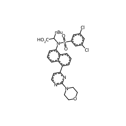 CCCCC(C(=O)O)N(c1cccc2c(-c3ccnc(N4CCOCC4)n3)cccc12)S(=O)(=O)c1cc(Cl)cc(Cl)c1